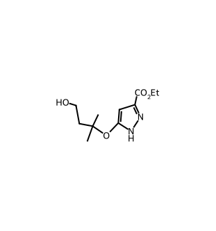 CCOC(=O)c1cc(OC(C)(C)CCO)[nH]n1